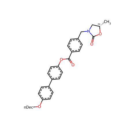 CCCCCCCCCCOc1ccc(-c2ccc(OC(=O)c3ccc(CN4C[C@H](C)OC4=O)cc3)cc2)cc1